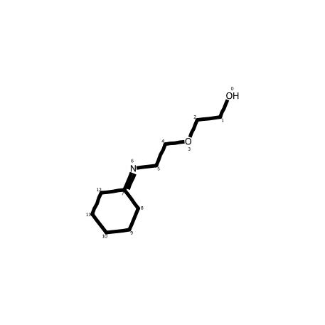 OCCOCCN=C1CCCCC1